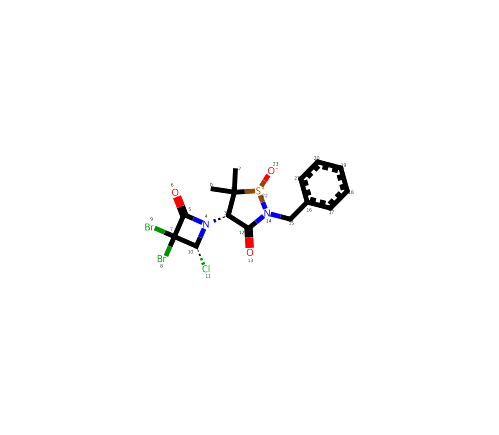 CC1(C)[C@@H](N2C(=O)C(Br)(Br)[C@H]2Cl)C(=O)N(Cc2ccccc2)[S+]1[O-]